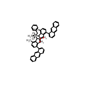 CC1=Cc2c(-c3cccc4cc5ccccc5cc34)ccc(C)c2[CH]1[Zr](=[SiH2])([Cl])([Cl])([CH2]c1ccccc1)[CH]1C(C)=Cc2c(-c3cccc4cc5ccccc5cc34)ccc(C)c21